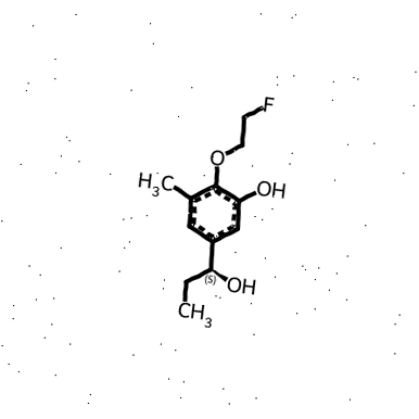 CC[C@H](O)c1cc(C)c(OCCF)c(O)c1